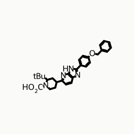 CC(C)(C)C1CC(c2ccc3nc(-c4ccc(OCc5ccccc5)cc4)[nH]c3n2)CCN1C(=O)O